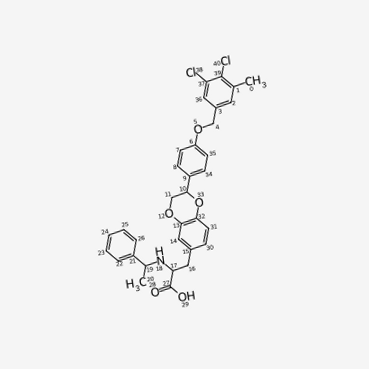 Cc1cc(COc2ccc(C3COc4cc(CC(NC(C)c5ccccc5)C(=O)O)ccc4O3)cc2)cc(Cl)c1Cl